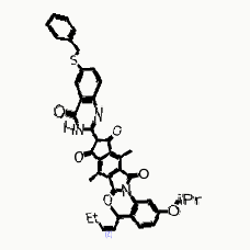 CC/C=C\C(C)c1ccc(OC(C)C)cc1N1C(=O)c2c(C)c3c(c(C)c2C1=O)C(=O)C(c1nc2ccc(SCc4ccccc4)cc2c(=O)[nH]1)C3=O